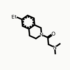 CCc1ccc2c(c1)CCN(C(=O)CN(C)C)C2